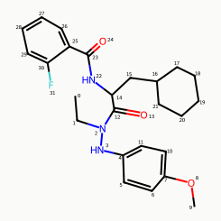 CCN(Nc1ccc(OC)cc1)C(=O)C(CC1CCCCC1)NC(=O)c1ccccc1F